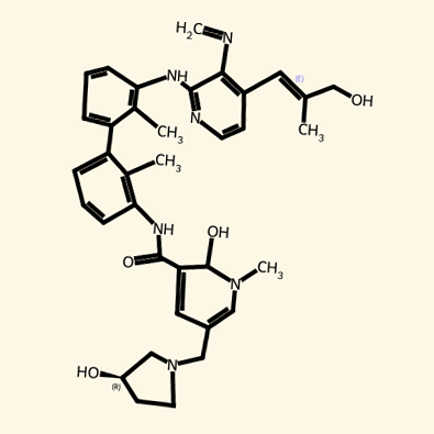 C=Nc1c(/C=C(\C)CO)ccnc1Nc1cccc(-c2cccc(NC(=O)C3=CC(CN4CC[C@@H](O)C4)=CN(C)C3O)c2C)c1C